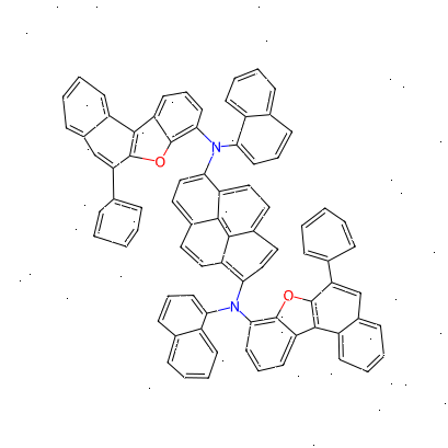 c1ccc(-c2cc3ccccc3c3c2oc2c(N(c4cccc5ccccc45)c4ccc5ccc6c(N(c7cccc8ccccc78)c7cccc8c7oc7c(-c9ccccc9)cc9ccccc9c78)ccc7ccc4c5c76)cccc23)cc1